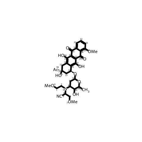 COCCN(C(C#N)COC)C1CC(O[C@H]2C[C@](O)(C(C)=O)Cc3c(O)c4c(c(O)c32)C(=O)c2c(OC)cccc2C4=O)OC(C)C1O